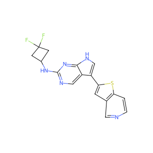 FC1(F)CC(Nc2ncc3c(-c4cc5cnccc5s4)c[nH]c3n2)C1